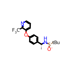 C[C@@H](N[S+]([O-])C(C)(C)C)c1ccc(Oc2cccnc2C(F)(F)F)cc1